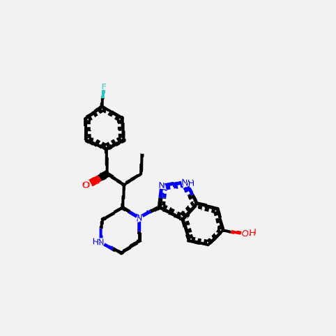 CCC(C(=O)c1ccc(F)cc1)C1CNCCN1c1n[nH]c2cc(O)ccc12